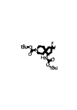 CC(C)(C)OC(=O)N[C@@H]1CC(F)(F)CC12CCN(C(=O)OC(C)(C)C)CC2